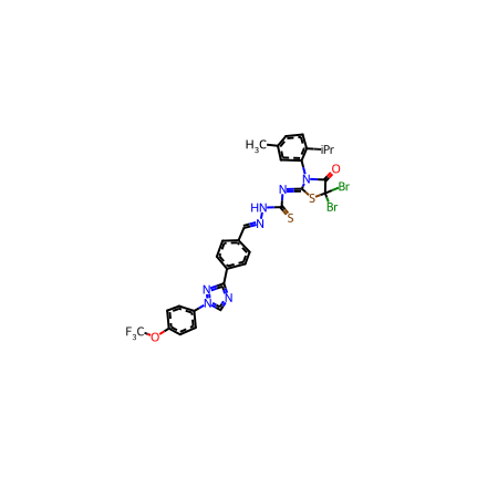 Cc1ccc(C(C)C)c(N2C(=O)C(Br)(Br)S/C2=N\C(=S)N/N=C/c2ccc(-c3ncn(-c4ccc(OC(F)(F)F)cc4)n3)cc2)c1